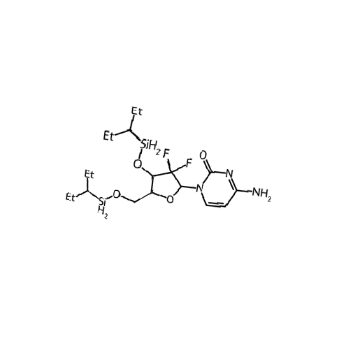 CCC(CC)[SiH2]OCC1OC(n2ccc(N)nc2=O)C(F)(F)C1O[SiH2]C(CC)CC